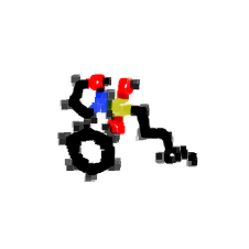 CCCCS(=O)(=O)N1OCC[C@H]1c1ccccc1